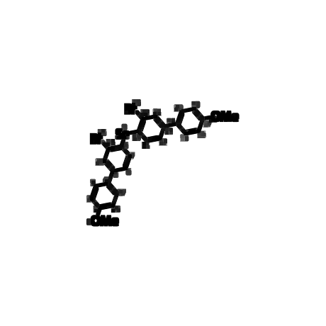 COc1ccc(-c2ccc([Se]c3ccc(-c4ccc(OC)cc4)cc3Br)c(Br)c2)cc1